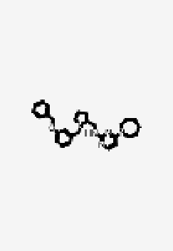 c1ccc(COc2cccc(CN3CCCC3CNc3nccc(N4CCCCCC4)n3)c2)cc1